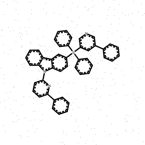 c1ccc(-c2cncc([Si](c3ccccc3)(c3ccccc3)c3ccc4c(c3)c3ccccc3n4-c3cccc(-c4ccccc4)n3)c2)cc1